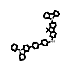 CC1(C)c2cc(Nc3ccc(-c4ccc(-c5ccc6c(c5)c5ccccc5n6-c5ccccc5)cc4)cc3)ccc2-c2ccc(-n3c4ccccc4c4ccccc43)cc21